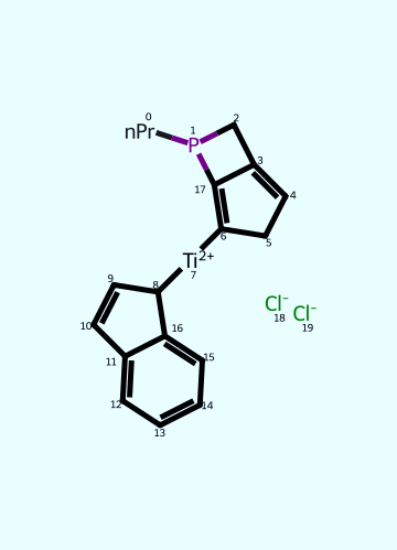 CCCP1CC2=CC[C]([Ti+2][CH]3C=Cc4ccccc43)=C21.[Cl-].[Cl-]